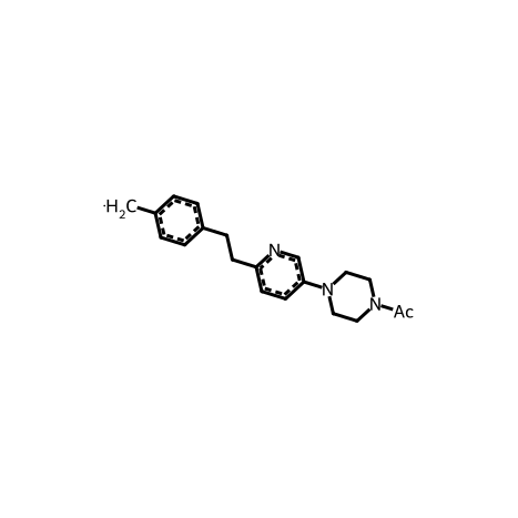 [CH2]c1ccc(CCc2ccc(N3CCN(C(C)=O)CC3)cn2)cc1